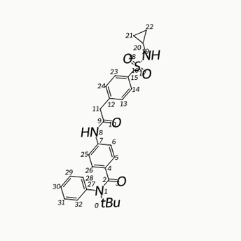 CC(C)(C)N(C(=O)c1ccc(NC(=O)Cc2ccc(S(=O)(=O)NC3CC3)cc2)cc1)c1ccccc1